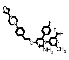 Cc1cc(N2C(c3ccc(F)cc3)=CC(OCCc3ccc(N4CCN(C5COC5)CC4)cc3)=NC2N)cc(C(F)F)n1